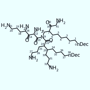 CCCCCCCCCCCCCCCCC(CN(C(=O)C(N)C(=O)C(N)CCCN)C(=O)C(CCCN)C(CCCN)CCCCCCCCCCCCCC)C(=O)CN